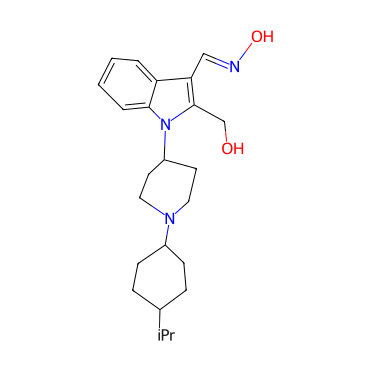 CC(C)C1CCC(N2CCC(n3c(CO)c(C=NO)c4ccccc43)CC2)CC1